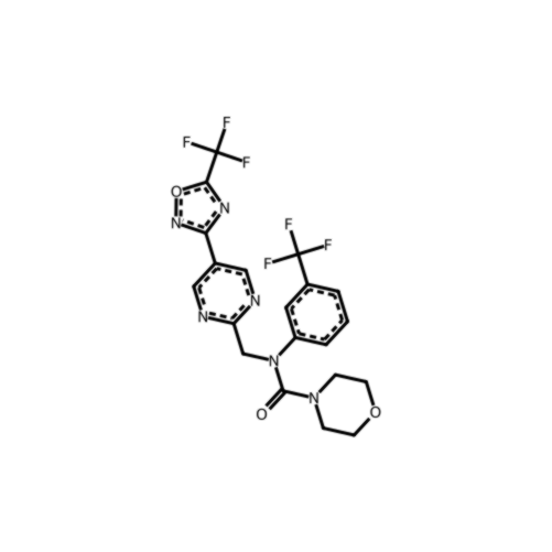 O=C(N1CCOCC1)N(Cc1ncc(-c2noc(C(F)(F)F)n2)cn1)c1cccc(C(F)(F)F)c1